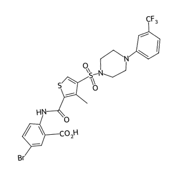 Cc1c(S(=O)(=O)N2CCN(c3cccc(C(F)(F)F)c3)CC2)csc1C(=O)Nc1ccc(Br)cc1C(=O)O